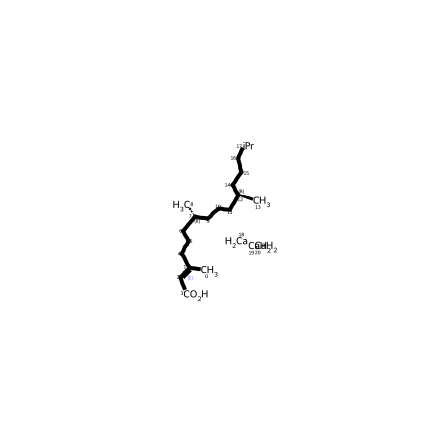 C/C(=C\C(=O)O)CCC[C@H](C)CCC[C@H](C)CCCC(C)C.[CaH2].[CaH2].[CaH2]